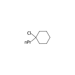 CCCC1(Cl)CCCCC1